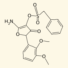 COc1cccc(C2OC(N)=C(OS(=O)(=O)Cc3ccccc3)C2=O)c1OC